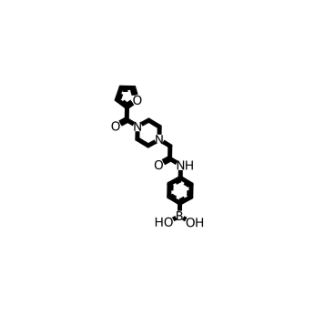 O=C(CN1CCN(C(=O)c2ccco2)CC1)Nc1ccc(B(O)O)cc1